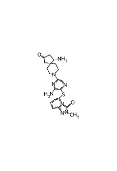 Cn1nc2cccc(Sc3ncc(N4CCC5(CC4)CC(=O)C[C@@H]5N)nc3N)n2c1=O